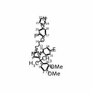 COc1ccc(C(C)(C)c2cnc(SCCOc3ccc(-n4ccnc4)cc3F)n2-c2ccc(F)cc2)cc1OC